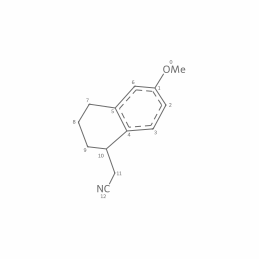 COc1ccc2c(c1)CCCC2CC#N